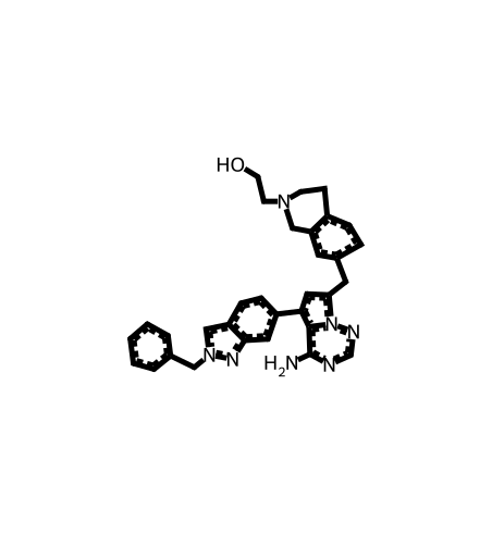 Nc1ncnn2c(Cc3ccc4c(c3)CN(CCO)CC4)cc(-c3ccc4cn(Cc5ccccc5)nc4c3)c12